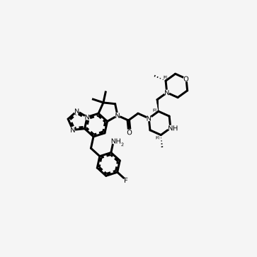 C[C@@H]1CN(CC(=O)N2CC(C)(C)c3c2cc(Cc2ccc(F)cc2N)c2ncnn32)[C@@H](CN2CCOC[C@H]2C)CN1